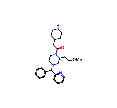 COCC[C@H]1CN(C(c2ccccc2)c2ccccn2)CCN1C(=O)CC1CCNCC1